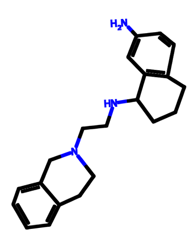 Nc1ccc2c(c1)C(NCCN1CCc3ccccc3C1)CCC2